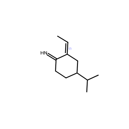 C/C=C1/CC(C(C)C)CCC1=N